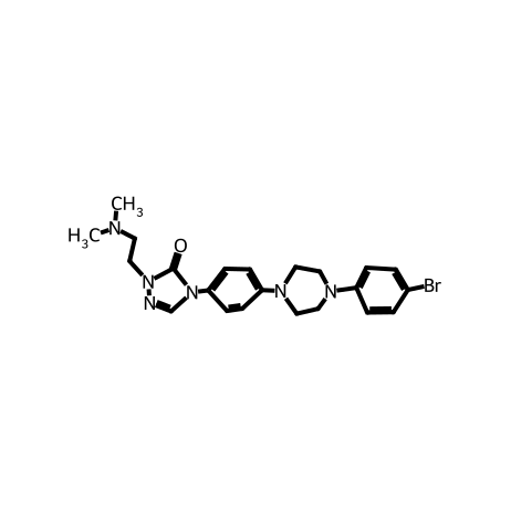 CN(C)CCn1ncn(-c2ccc(N3CCN(c4ccc(Br)cc4)CC3)cc2)c1=O